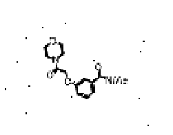 CNC(=O)c1cccc(OCC(=O)N2CCOCC2)c1